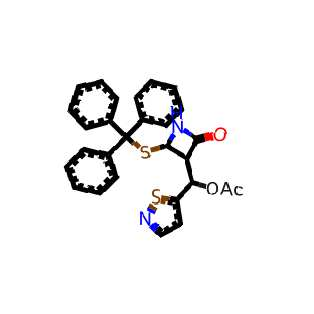 CC(=O)OC(c1ccns1)C1C(=O)NC1SC(c1ccccc1)(c1ccccc1)c1ccccc1